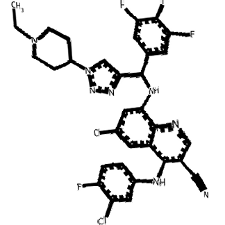 CCN1CCC(n2cc(C(Nc3cc(Cl)cc4c(Nc5ccc(F)c(Cl)c5)c(C#N)cnc34)c3cc(F)c(F)c(F)c3)nn2)CC1